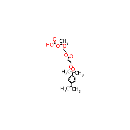 CC(OCCOC(=O)C=COOC(C)(C)c1ccc(C(C)C)cc1)OC(=O)O